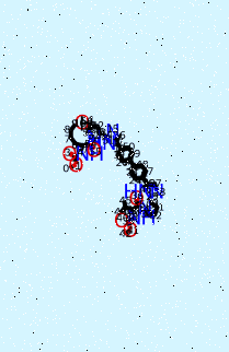 COC(=O)N[C@H]1CCCCO[C@H]2C[C@@H](c3ncc(-c4ccc(-c5ccc(-c6cnc([C@@H]7CCCN7C(=O)[C@@H](NC(=O)OC)C(C)C)[nH]6)cc5)cc4)[nH]3)N(C2)C1=O